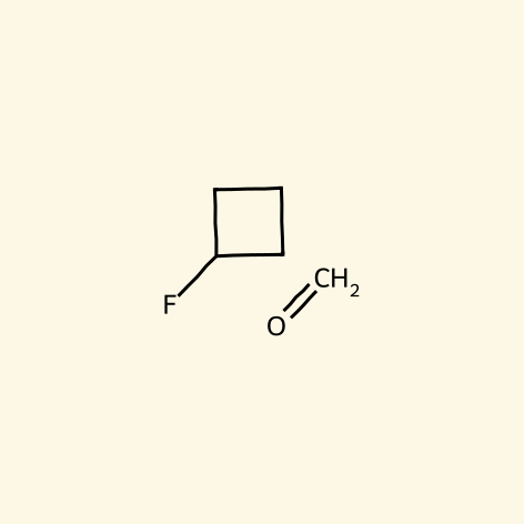 C=O.FC1CCC1